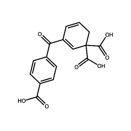 O=C(O)c1ccc(C(=O)C2=CC(C(=O)O)(C(=O)O)CC=C2)cc1